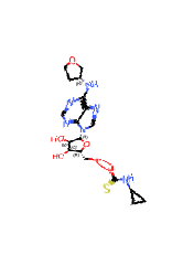 O[C@@H]1[C@H](O)[C@@H](COC(=S)NC2CC2)O[C@H]1n1cnc2c(N[C@@H]3CCOC3)ncnc21